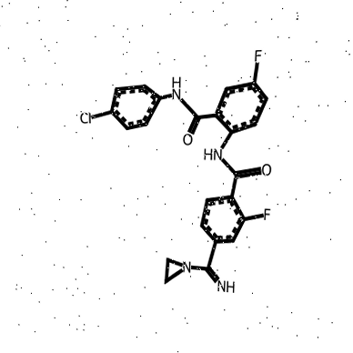 N=C(c1ccc(C(=O)Nc2ccc(F)cc2C(=O)Nc2ccc(Cl)cc2)c(F)c1)N1CC1